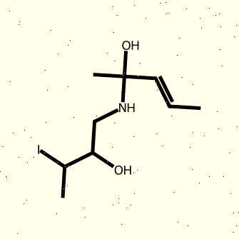 CC=CC(C)(O)NCC(O)C(C)I